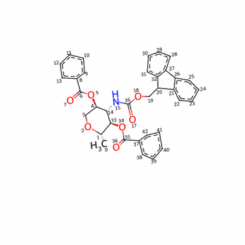 C[C@@H]1OC[C@@H](OC(=O)c2ccccc2)[C@H](NC(=O)OCC2c3ccccc3-c3ccccc32)[C@H]1OC(=O)c1ccccc1